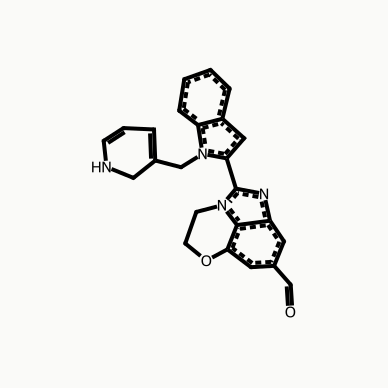 O=Cc1cc2c3c(c1)nc(-c1cc4ccccc4n1CC1=CC=CNC1)n3CCO2